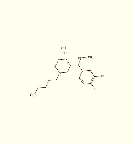 CCCCCN1CCCC(C(NC)c2ccc(Cl)c(Cl)c2)C1.Cl.Cl